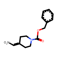 O=C(OCc1ccccc1)N1CCC(=C[N+](=O)[O-])CC1